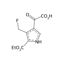 CCOC(=O)c1[nH]cc(C(=O)C(=O)O)c1CF